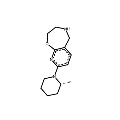 C[C@@H]1CCCCN1c1ccc2c(n1)OCCNC2